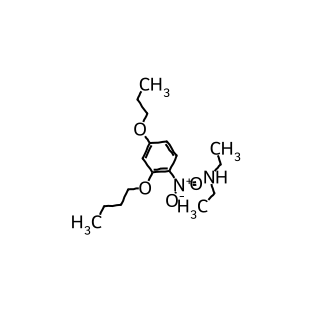 CCCCOc1cc(OCCC)ccc1[N+](=O)[O-].CCNCC